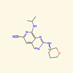 CC(C)Nc1nc(C#N)cc2cnc(N[C@@H]3CCCOC3)nc12